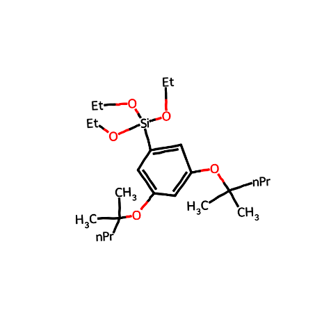 CCCC(C)(C)Oc1cc(OC(C)(C)CCC)cc([Si](OCC)(OCC)OCC)c1